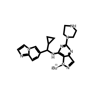 CC[C@H](C)n1ncc2nc(N3CCNCC3)nc(NC(c3ccc4nccn4c3)C3CC3)c21